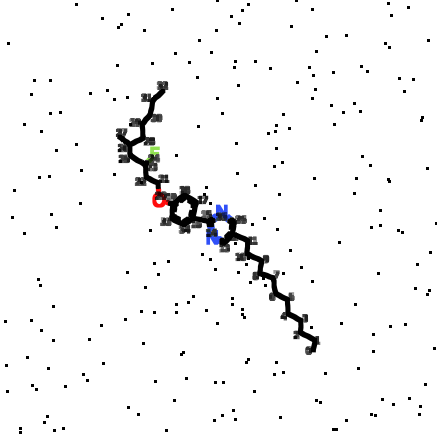 CCCCCCCCCCCCc1cnc(-c2ccc(OCCC(F)CC(C)CCCCC)cc2)nc1